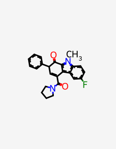 Cn1c2c(c3cc(F)ccc31)C(C(=O)N1CCCC1)=CC(c1ccccc1)C2=O